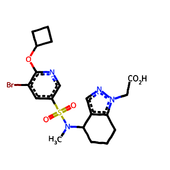 CN(C1CCCc2c1cnn2CC(=O)O)S(=O)(=O)c1cnc(OC2CCC2)c(Br)c1